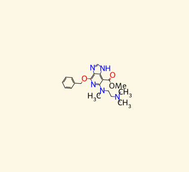 COC(=O)c1c(N(C)CCN(C)C)nc(OCc2ccccc2)c2nc[nH]c12